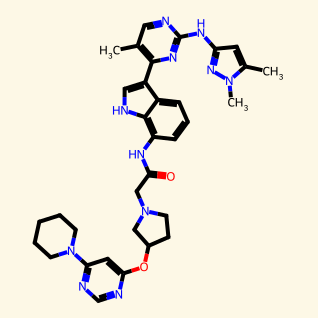 Cc1cnc(Nc2cc(C)n(C)n2)nc1-c1c[nH]c2c(NC(=O)CN3CCC(Oc4cc(N5CCCCC5)ncn4)C3)cccc12